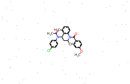 COc1ccc(C(=O)N2c3cccc(C)c3C(N(C(C)=O)c3ccc(Cl)cc3)CC2C)cc1